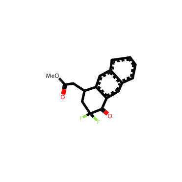 COC(=O)CC1CC(F)(F)C(=O)c2cc3ccccc3cc21